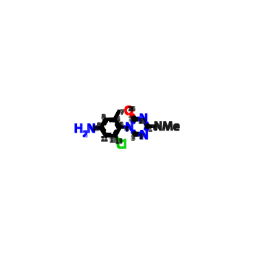 CNc1ncn(-c2c(C)cc(N)cc2Cl)c(=O)n1